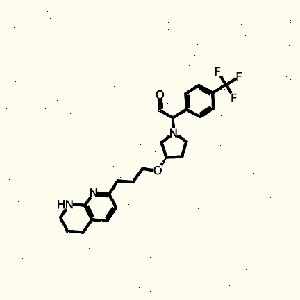 O=C[C@@H](c1ccc(C(F)(F)F)cc1)N1CC[C@@H](OCCCc2ccc3c(n2)NCCC3)C1